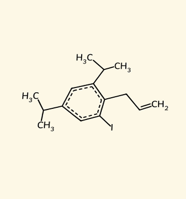 C=CCc1c(I)cc(C(C)C)cc1C(C)C